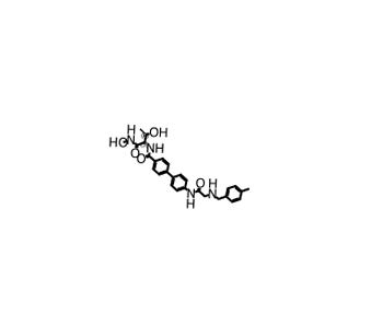 Cc1ccc(CNCC(=O)Nc2ccc(-c3ccc(C(=O)N[C@H](C(=O)NO)[C@@H](C)O)cc3)cc2)cc1